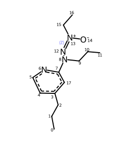 CCCc1ccnc(N(CCC)/N=[N+](\[O-])CC)c1